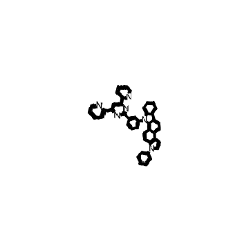 c1ccc(-n2ccc3c4ccc5c6ccccc6n(-c6cccc(-c7nc(-c8ccccn8)cc(-c8ccccn8)n7)c6)c5c4ccc32)cc1